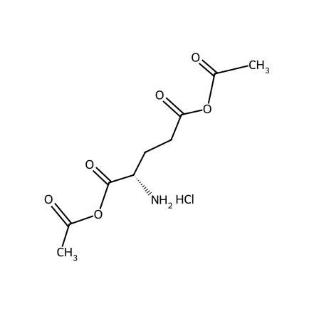 CC(=O)OC(=O)CC[C@H](N)C(=O)OC(C)=O.Cl